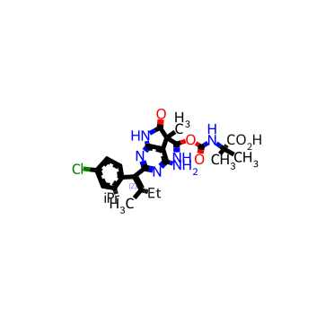 CC/C(C)=C(\c1nc(N)c2c(n1)NC(=O)C2(C)C(=N)OC(=O)NC(C)(C)C(=O)O)c1ccc(Cl)cc1C(C)C